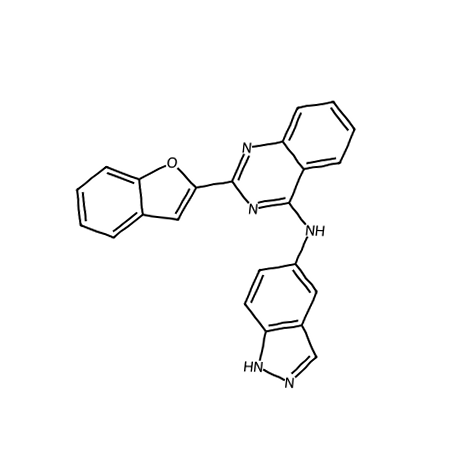 c1ccc2oc(-c3nc(Nc4ccc5[nH]ncc5c4)c4ccccc4n3)cc2c1